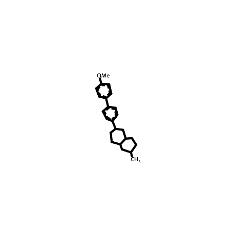 COc1ccc(-c2ccc(C3CCC4CC(C)CCC4C3)cc2)cc1